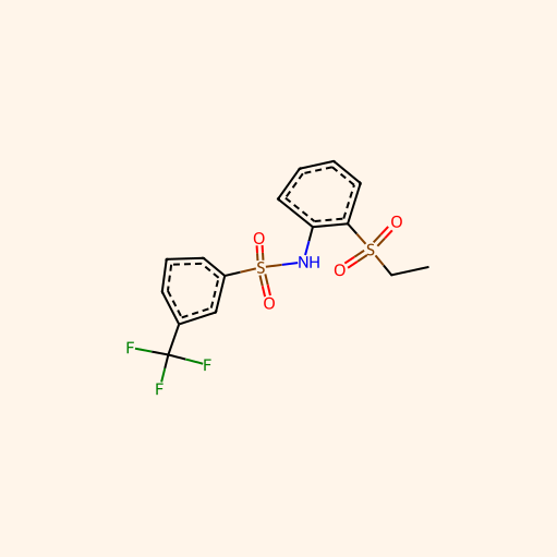 CCS(=O)(=O)c1ccccc1NS(=O)(=O)c1cccc(C(F)(F)F)c1